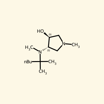 CCCCC(C)(C)N(C)[C@H]1CN(C)C[C@@H]1O